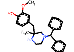 COc1cc(CC2(C)CN(C(c3ccccc3)c3ccccc3)CCN2)ccc1O